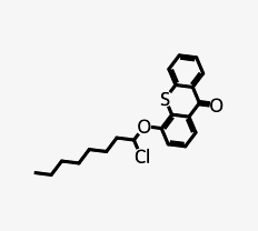 CCCCCCCC(Cl)Oc1cccc2c(=O)c3ccccc3sc12